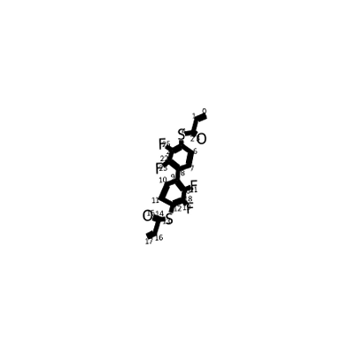 C=CC(=O)Sc1ccc(-c2ccc(SC(=O)C=C)c(F)c2F)c(F)c1F